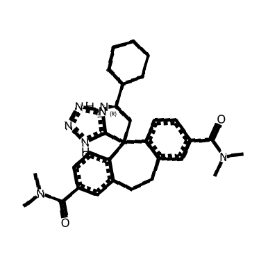 CN(C)C(=O)c1ccc2c(c1)CCc1cc(C(=O)N(C)C)ccc1C2(C[C@@H](N)C1CCCCC1)c1nnn[nH]1